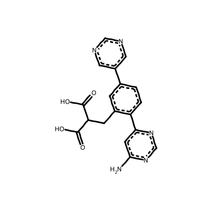 Nc1cc(-c2ccc(-c3cncnc3)cc2CC(C(=O)O)C(=O)O)ncn1